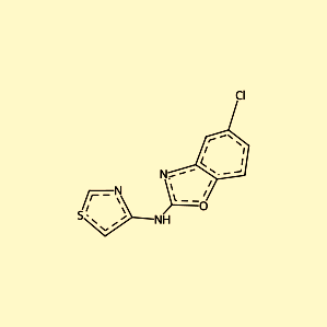 Clc1ccc2oc(Nc3cscn3)nc2c1